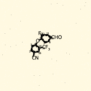 N#Cc1ccc(Oc2ccc(C=O)cc2F)c(C(F)(F)F)c1